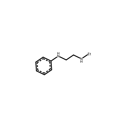 CCNCCNc1ccccc1